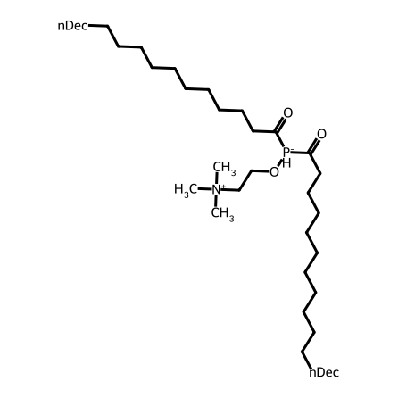 CCCCCCCCCCCCCCCCCCCCC(=O)[PH-](OCC[N+](C)(C)C)C(=O)CCCCCCCCCCCCCCCCCCCC